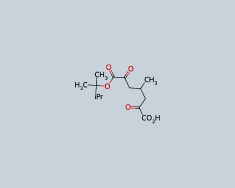 CC(CC(=O)C(=O)O)CC(=O)C(=O)OC(C)(C)C(C)C